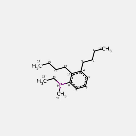 CCCCc1cccc(P(C)CC)c1CCCC